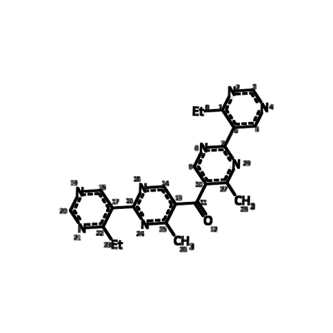 CCc1ncncc1-c1ncc(C(=O)c2cnc(-c3cncnc3CC)nc2C)c(C)n1